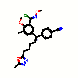 CON=C(Cl)c1cc(/C(=C\CCCc2nnc(C)o2)c2ccc(C#N)cc2)cc(C)c1OC